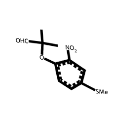 CSc1ccc(OC(C)(C)C=O)c([N+](=O)[O-])c1